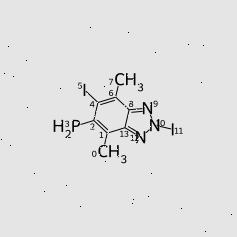 Cc1c(P)c(I)c(C)c2nn(I)nc12